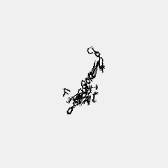 CCN(C)CC[C@H](CSc1ccccc1)Nc1ccc(S(=O)(=O)NC(=O)c2ccc(N3CCN(CC4=C(c5ccc(Cl)cc5)CCC(C)(C)C4)CC3)cc2)cc1S(=O)(=O)C(F)(F)F